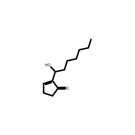 CCCCCCC(O)C1=CCCC1=O